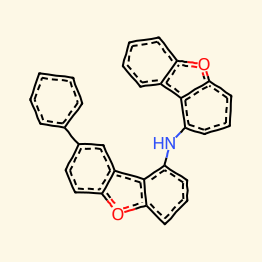 c1ccc(-c2ccc3oc4cccc(Nc5cccc6oc7ccccc7c56)c4c3c2)cc1